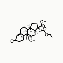 CCOC(=O)O[C@]1(C(=O)O)CC[C@H]2[C@@H]3CCC4=CC(=O)CC[C@]4(C)[C@H]3[C@@H](O)C[C@@]21C